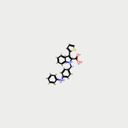 O=C(O)c1c(-c2cccs2)c2ccccc2n1Cc1ccc(Nc2ccccc2)cc1